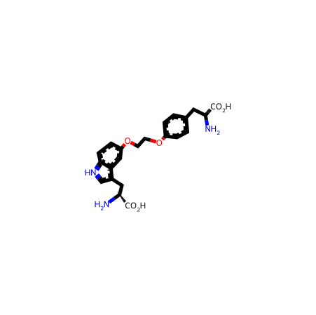 NC(Cc1ccc(OCCOc2ccc3[nH]cc(C[C@H](N)C(=O)O)c3c2)cc1)C(=O)O